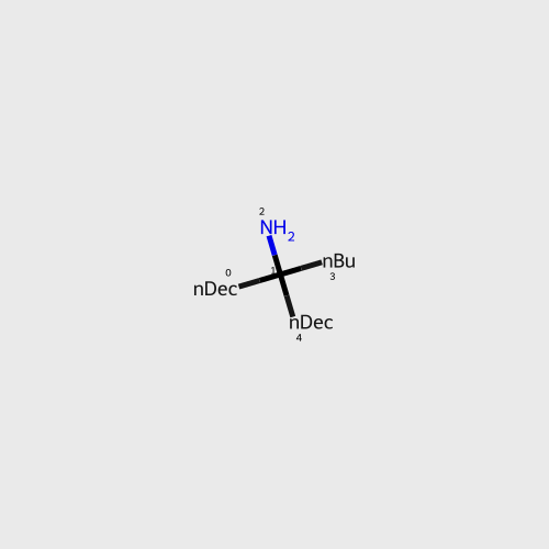 CCCCCCCCCCC(N)(CCCC)CCCCCCCCCC